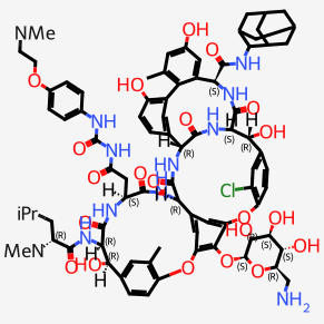 CNCCOc1ccc(NC(=O)NC(=O)C[C@@H]2NC(=O)[C@H](NC(=O)[C@@H](CC(C)C)NC)[C@H](O)c3ccc(c(C)c3)Oc3cc4cc(c3O[C@@H]3O[C@H](CN)[C@@H](O)[C@H](O)[C@H]3O)Oc3ccc(cc3Cl)[C@@H](O)[C@@H]3NC(=O)[C@H](NC(=O)[C@@H]4NC2=O)c2ccc(O)c(c2)-c2c(C)cc(O)cc2[C@@H](C(=O)NC2C4CC5CC(C4)CC2C5)NC3=O)cc1